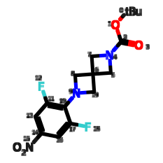 CC(C)(C)OC(=O)N1CC2(C1)CN(c1c(F)cc([N+](=O)[O-])cc1F)C2